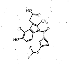 Cc1c(CC(=O)O)c2c(Cl)c(O)ccc2n1C(=O)c1ccc(SC(F)F)s1